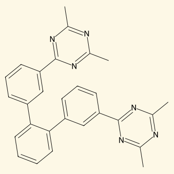 Cc1nc(C)nc(-c2cccc(-c3ccccc3-c3cccc(-c4nc(C)nc(C)n4)c3)c2)n1